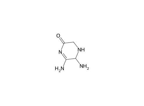 NC1=NC(=O)CNC1N